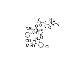 C=CC1CC1(NC(=O)[C@@H]1C[C@@H](Oc2ncc(OC)c3ccc(Cl)cc23)CN1C(=O)[C@@H](Nc1cccc(C(=O)O)c1)C(C)(C)C)C(=O)NS(=O)(=O)C1CC1